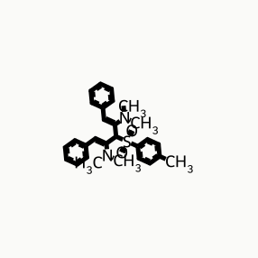 Cc1ccc(S(=O)(=O)C(C(=Cc2ccccc2)N(C)C)C(=Cc2ccccc2)N(C)C)cc1